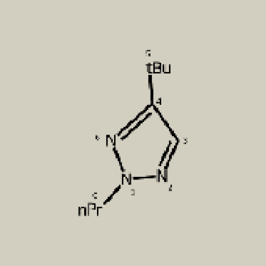 CCCn1ncc(C(C)(C)C)n1